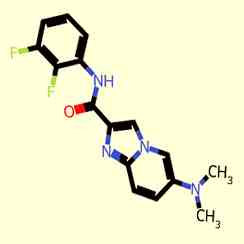 CN(C)c1ccc2nc(C(=O)Nc3cccc(F)c3F)cn2c1